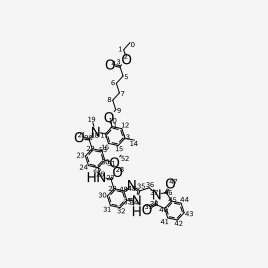 CCOC(=O)CCCCCOc1cc(C)ccc1N(C)C(=O)c1ccc(NC(=O)c2cccc3[nH]c(CN4C(=O)c5ccccc5C4=O)nc23)c(OC)c1